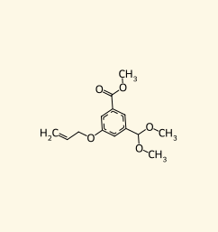 C=CCOc1cc(C(=O)OC)cc(C(OC)OC)c1